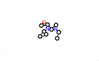 c1ccc(-c2cccc(-n3c4ccccc4c4c5c6ccc7oc8ccccc8c7c6n(-c6ccc7c8c(cccc68)-c6ccccc6-7)c5ccc43)c2)cc1